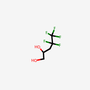 OCC(O)CC(F)(F)C(F)(F)F